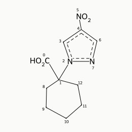 O=C(O)C1(n2cc([N+](=O)[O-])cn2)CCCCC1